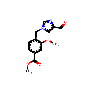 COC(=O)c1ccc(Cn2cnc(C=O)c2)c(OC)c1